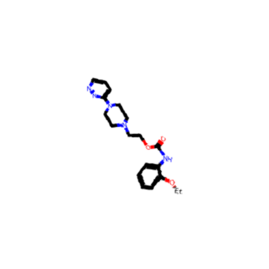 CCOc1ccccc1NC(=O)OCCN1CCN(c2cccnn2)CC1